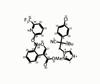 CCCCC(C#N)(Cn1cncn1)c1ccc(Cl)cc1.CO/C=C(/C(=O)OC)c1ccccc1COc1cccc(C(F)(F)F)n1